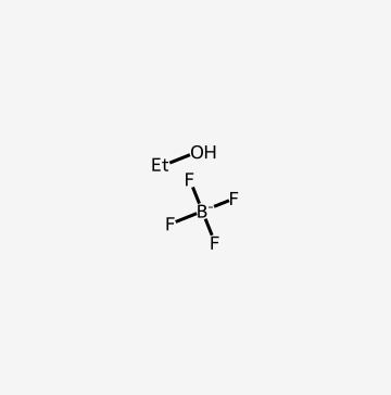 CCO.F[B-](F)(F)F